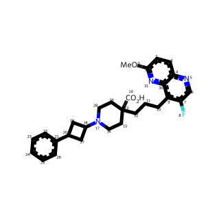 COc1ccc2ncc(F)c(CCCC3(C(=O)O)CCN(C4CC(c5ccccc5)C4)CC3)c2n1